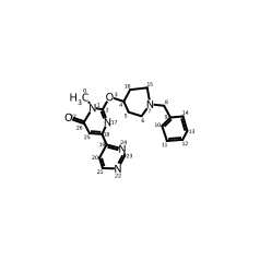 Cn1c(OC2CCN(Cc3ccccc3)CC2)nc(-c2ccncn2)cc1=O